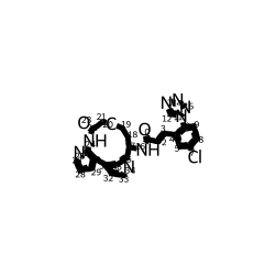 O=C(C=Cc1cc(Cl)ccc1-n1cnnn1)NC1CCCCC(=O)Nc2ncccc2-c2ccnc1c2